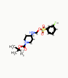 CC(C)(C)OC(=O)N1CCC(NCOS(=O)(=O)c2cccc(F)c2)CC1